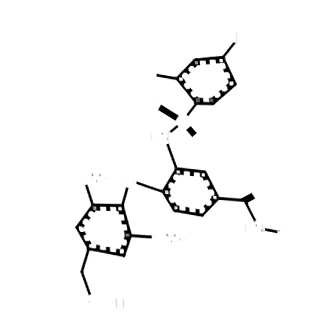 CCNC(=O)c1ccc(Oc2c(OC)cc(CC(=O)O)cc2OC)c(NS(=O)(=O)c2ccc(F)cc2F)c1